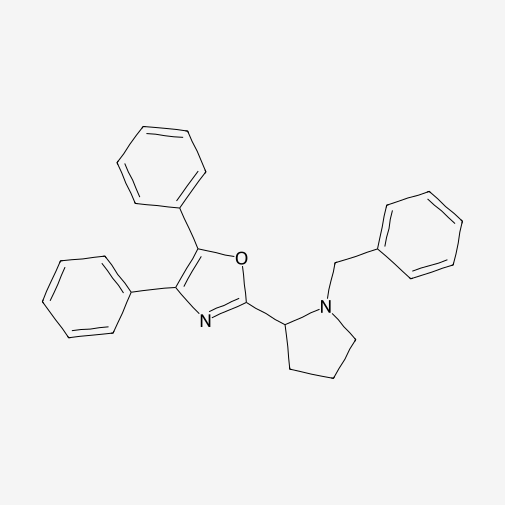 c1ccc(CN2CCCC2c2nc(-c3ccccc3)c(-c3ccccc3)o2)cc1